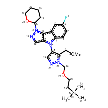 COCc1c(-n2c3ccc(F)cc3c3c2cnn3C2CCCCO2)cnn1COCC[Si](C)(C)C